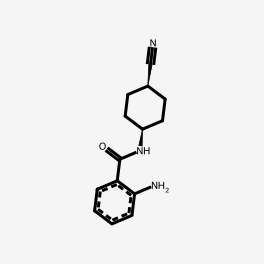 N#C[C@H]1CC[C@@H](NC(=O)c2ccccc2N)CC1